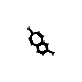 CCC1C=Cc2ccc(Br)cc2C=C1